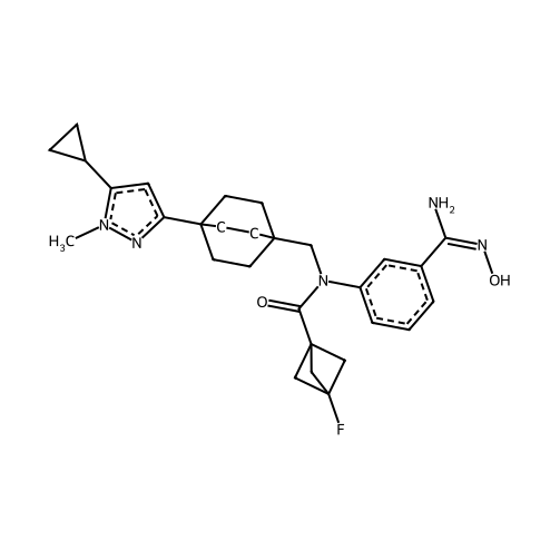 Cn1nc(C23CCC(CN(C(=O)C45CC(F)(C4)C5)c4cccc(/C(N)=N\O)c4)(CC2)CC3)cc1C1CC1